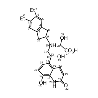 CCc1cc2c(cc1CC)CC(NC[C@H](O)c1ccc(O)c3[nH]c(=O)ccc13)C2.O=C(O)CO